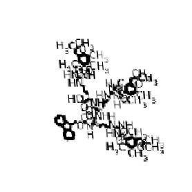 Cc1c(C)c(S(=O)(=O)NC(=N)NCCC[C@H](NC(=O)[C@H](CCCNC(=N)NS(=O)(=O)c2c(C)c(C)c3c(c2C)CC(C)(C)O3)NC(=O)[C@H](CCCNC(=N)NS(=O)(=O)c2c(C)c(C)c3c(c2C)CC(C)(C)O3)NC(=O)OCC2c3ccccc3-c3ccccc32)C(=O)O)c(C)c2c1OC(C)(C)C2